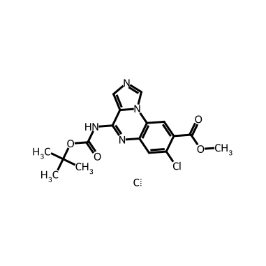 COC(=O)c1cc2c(cc1Cl)nc(NC(=O)OC(C)(C)C)c1cncn12.[C]